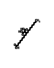 CCCCCCCCCCC(CCCCCCCCCC(=O)O)=C(C(=O)O)C(=O)O